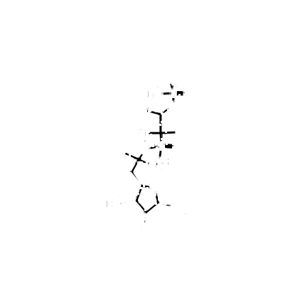 B[C@@H]1O[C@H](CC(C)(CC)OP(B)(=O)C(C)(CC)C(C)OP(=O)(O)O)[C@@H](O)[C@H]1O